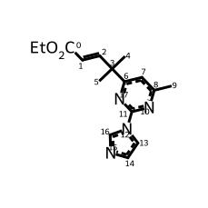 CCOC(=O)C=CC(C)(C)c1cc(C)nc(-n2ccnc2)n1